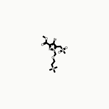 COC(=O)c1nn(COCC[Si](C)(C)C)c(CS(C)(=O)=O)c1Br